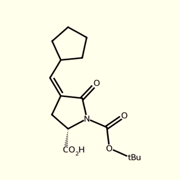 CC(C)(C)OC(=O)N1C(=O)C(=CC2CCCC2)C[C@H]1C(=O)O